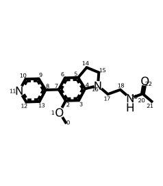 COc1cc2c(cc1-c1ccncc1)CCN2CCNC(C)=O